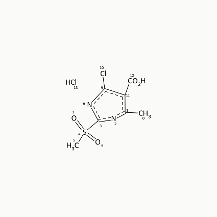 Cc1nc(S(C)(=O)=O)nc(Cl)c1C(=O)O.Cl